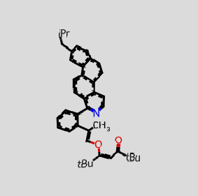 C/C(=C\O/C(=C\C(=O)C(C)(C)C)C(C)(C)C)c1ccccc1-c1nccc2c1ccc1c3cc(CC(C)C)ccc3ccc21